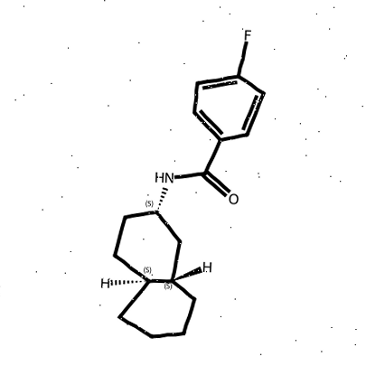 O=C(N[C@H]1CC[C@@H]2CCCC[C@H]2C1)c1ccc(F)cc1